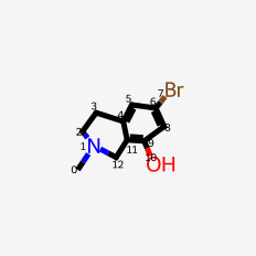 CN1CCc2cc(Br)cc(O)c2C1